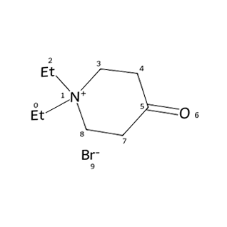 CC[N+]1(CC)CCC(=O)CC1.[Br-]